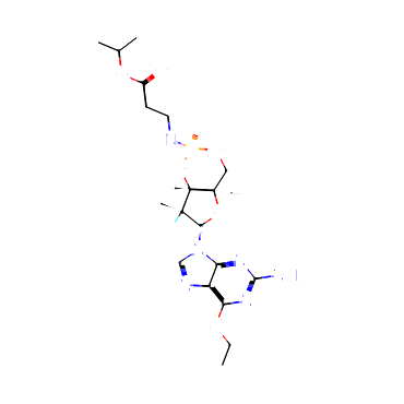 CCOc1nc(N)nc2c1ncn2[C@@H]1O[C@@H]2COP(=O)(NCCC(=O)OC(C)C)O[C@H]2[C@@]1(C)F